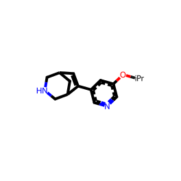 CC(C)Oc1cncc(C2=CC3CNCC2C3)c1